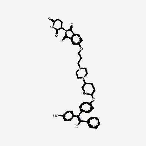 CC/C(=C(\c1ccc(O)cc1)c1ccc(OC2CCC(N3CCN(CCCOc4ccc5c(c4)C(=O)N(C4CCC(=O)NC4=O)C5=O)CC3)CN2)cc1)c1ccccc1